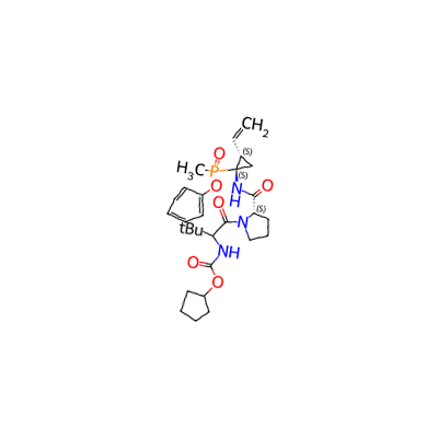 C=C[C@@H]1C[C@]1(NC(=O)[C@@H]1CCCN1C(=O)C(NC(=O)OC1CCCC1)C(C)(C)C)P(C)(=O)Oc1ccccc1